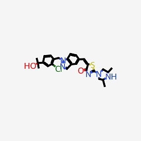 CC1CN(C2=NC(=O)C(=Cc3ccc4c(cnn4Cc4ccc(C(C)(C)O)cc4Cl)c3)S2)CC(C)N1